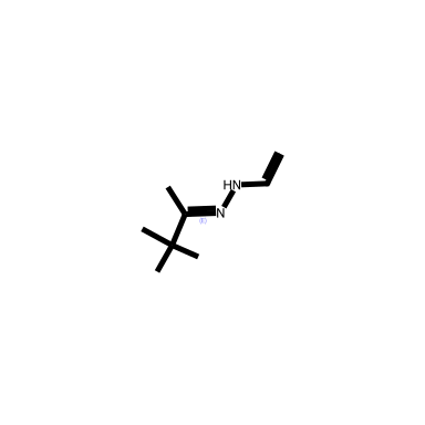 C=CN/N=C(\C)C(C)(C)C